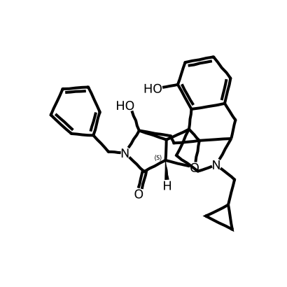 O=C1[C@H]2OC34CCC(O)(C2C32CCN(CC3CC3)C4Cc3cccc(O)c32)N1Cc1ccccc1